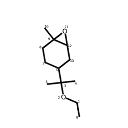 CCOC(C)(C)C1CCC2(C)OC2C1